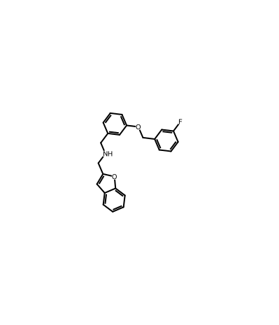 Fc1cccc(COc2cccc(CNCc3cc4ccccc4o3)c2)c1